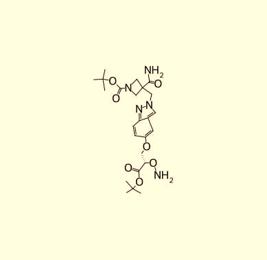 CC(C)(C)OC(=O)[C@H](COc1ccc2nn(CC3(C(N)=O)CN(C(=O)OC(C)(C)C)C3)cc2c1)ON